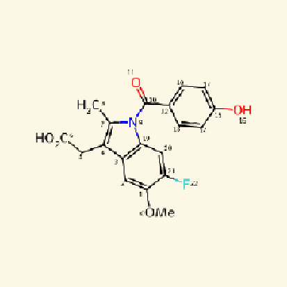 COc1cc2c(CC(=O)O)c(C)n(C(=O)c3ccc(O)cc3)c2cc1F